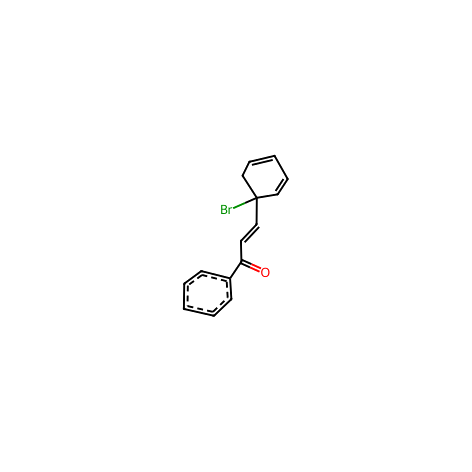 O=C(C=CC1(Br)C=CC=CC1)c1ccccc1